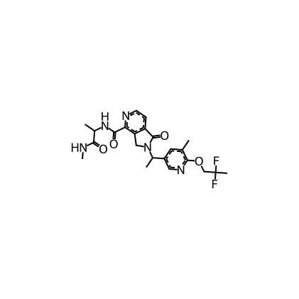 CNC(=O)C(C)NC(=O)c1nccc2c1CN(C(C)c1cnc(OCC(C)(F)F)c(C)c1)C2=O